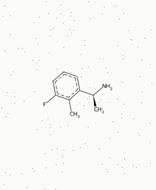 Cc1c(F)cccc1[C@H](C)N